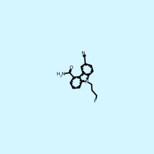 N#Cc1ccc2c(c1)c1c(C(N)=O)cccc1n2CCCF